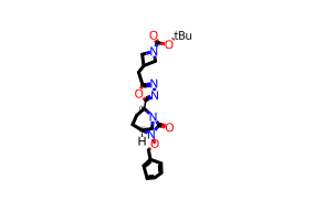 CC(C)(C)OC(=O)N1CC(Cc2nnc([C@@H]3CC[C@H]4CN3C(=O)N4OCc3ccccc3)o2)C1